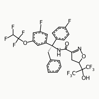 O=C(N[C@](Cc1ccccc1)(c1ccc(F)cc1)c1cc(F)cc(OC(F)(F)C(F)F)c1)C1=NOC(C(O)(C(F)(F)F)C(F)(F)F)C1